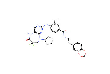 COc1cc(C(=O)NCCc2ccc3c(c2)OCO3)ccc1Nc1ncc2c(n1)N(C1CCCC1)CC(F)(F)C(=O)N2C